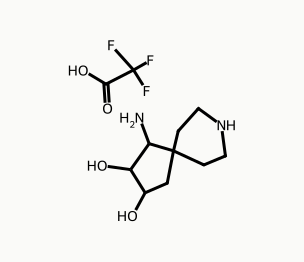 NC1C(O)C(O)CC12CCNCC2.O=C(O)C(F)(F)F